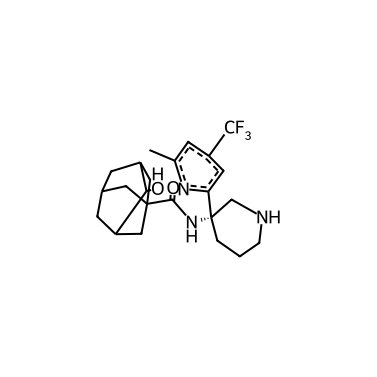 Cc1cc(C(F)(F)F)cc([C@]2(NC(=O)C34CC5CC(C3)C(O)C(C5)C4)CCCNC2)n1